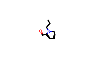 CCCN1CC=CC=C1C=O